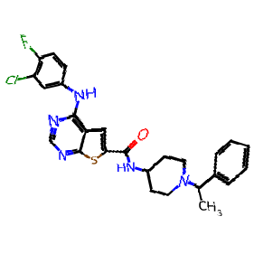 CC(c1ccccc1)N1CCC(NC(=O)c2cc3c(Nc4ccc(F)c(Cl)c4)ncnc3s2)CC1